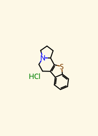 Cl.c1ccc2c3c(sc2c1)C1CCCN1CC3